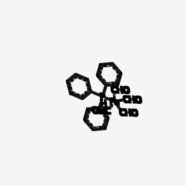 O=[CH][Fe]([CH]=O)([CH]=O)([CH]=O)[PH](c1ccccc1)(c1ccccc1)c1ccccc1